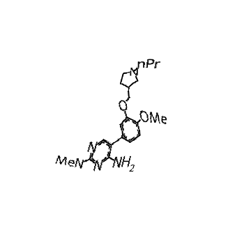 CCCN1CCC(COc2cc(-c3cnc(NC)nc3N)ccc2OC)C1